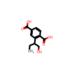 CCC(CO)c1cc(C(=O)O)ccc1C(=O)O